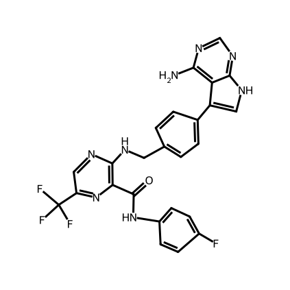 Nc1ncnc2[nH]cc(-c3ccc(CNc4ncc(C(F)(F)F)nc4C(=O)Nc4ccc(F)cc4)cc3)c12